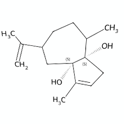 C=C(C)C1CCC(C)[C@@]2(O)CC=C(C)[C@@]2(O)C1